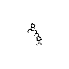 O=Cc1cn(CC(=O)Cc2ccc([N+](=O)[O-])cc2)c2ccccc12